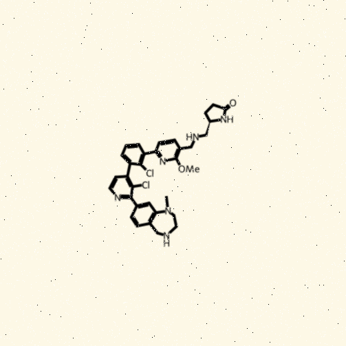 COc1nc(-c2cccc(-c3ccnc(-c4ccc5c(c4)N(C)CCNC5)c3Cl)c2Cl)ccc1CNC[C@H]1CCC(=O)N1